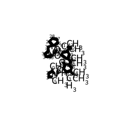 Cc1ccc(C)n1POc1cc(C(C)(C)C)cc2c1Oc1c(OP3Oc4ccccc4Cc4cccn43)cc(C(C)(C)C)cc1C2(C)C